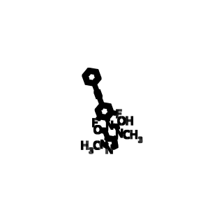 CN1c2cnn(C)c2C(=O)N(c2c(F)cc(C#Cc3ccccc3)cc2F)C1O